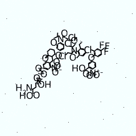 CC1COc2ccccc2N1C(=O)C(Cl)Cl.CCc1cccc(C)c1N(C(=O)CCl)C(C)COC.CP(=O)(O)CCC(N)C(=O)O.CS(=O)(=O)c1ccc(C(=O)C2C(=O)CCCC2=O)c([N+](=O)[O-])c1.O=C(O)c1cc(Oc2ccc(C(F)(F)F)cc2Cl)ccc1[N+](=O)[O-]